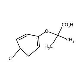 CC(C)(OC1=CCC(Cl)C=C1)C(=O)O